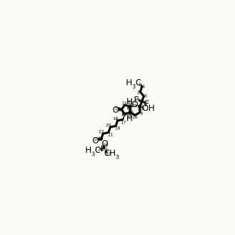 CCCCC(F)(F)[C@@]1(O)CC[C@H]2[C@@H](CC(=O)[C@@H]2CCCCCCC(=O)OP(C)C)O1